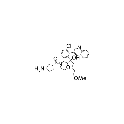 COCCCC[C@@](O)(c1cccc(Cl)c1-c1cnc2ccccc2c1)C1CN(C(=O)[C@@H]2CC[C@H](N)C2)CCO1